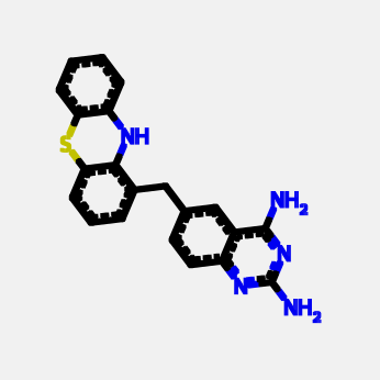 Nc1nc(N)c2cc(Cc3cccc4c3Nc3ccccc3S4)ccc2n1